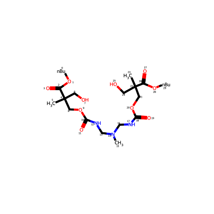 CCCCOC(=O)C(C)(CO)COC(=O)NCN(C)CNC(=O)OCC(C)(CO)C(=O)OCCCC